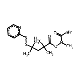 CCCC(=O)N(C)OC(=O)C(C)(C)CC(C)(C)SSc1ccccn1